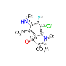 CCNc1c(F)c(Cl)c2c(c1[N+](=O)[O-])c(=O)c(C(=O)O)cn2CC